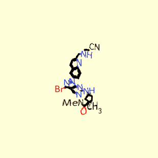 CNC(=O)[C@]1(C)CC[C@@H](Nc2ncc3c(Br)nn(-c4ccc5nc(CNCCC#N)ccc5c4)c3n2)C1